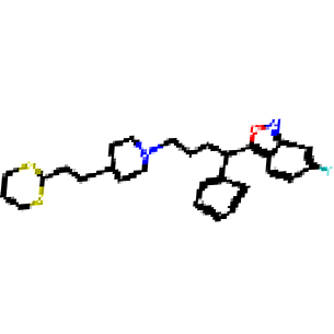 Fc1ccc2c(C(CCCN3CCC(CCC4SCCCS4)CC3)c3ccccc3)onc2c1